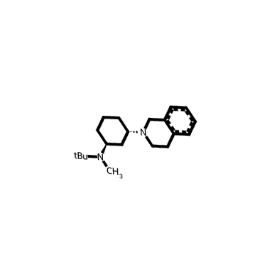 CN([C@H]1CCC[C@H](N2CCc3ccccc3C2)C1)C(C)(C)C